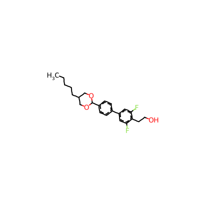 CCCCCC1COC(c2ccc(-c3cc(F)c(CCO)c(F)c3)cc2)OC1